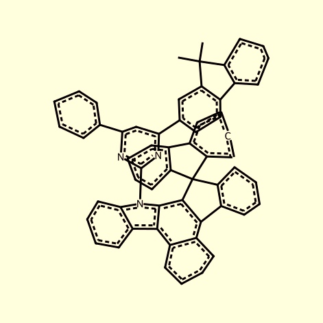 CC1(C)c2ccccc2-c2ccc(-c3cc(-c4ccccc4)nc(-n4c5ccccc5c5c6ccccc6c6c(c54)C4(c5ccccc5-c5ccccc54)c4ccccc4-6)n3)cc21